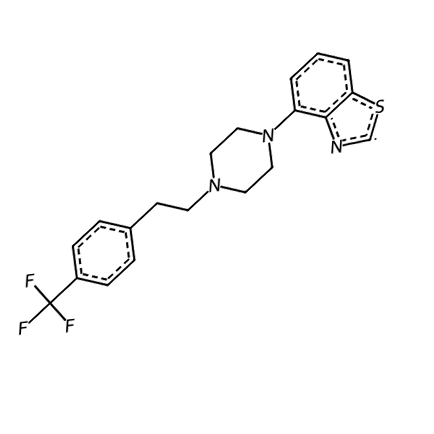 FC(F)(F)c1ccc(CCN2CCN(c3cccc4s[c]nc34)CC2)cc1